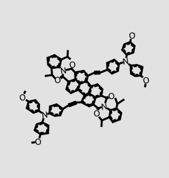 COc1ccc(N(c2ccc(C#Cc3cc4c5c(ccc6c7c(C#Cc8ccc(N(c9ccc(OC)cc9)c9ccc(OC)cc9)cc8)cc8c9c(ccc(c3c56)c97)C(=O)N(c3c(C(C)C)cccc3C(C)C)C8=O)C(=O)N(c3c(C(C)C)cccc3C(C)C)C4=O)cc2)c2ccc(OC)cc2)cc1